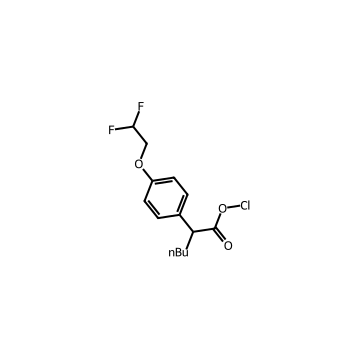 CCCCC(C(=O)OCl)c1ccc(OCC(F)F)cc1